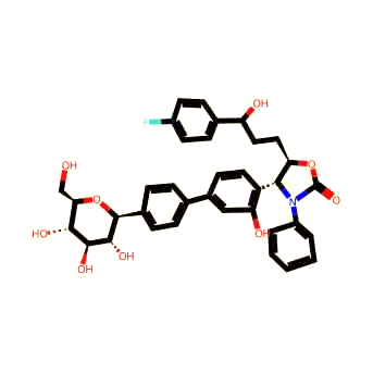 O=C1O[C@H](CCC(O)c2ccc(F)cc2)[C@@H](c2ccc(-c3ccc([C@@H]4O[C@H](CO)[C@@H](O)[C@H](O)[C@H]4O)cc3)cc2O)N1c1ccccc1